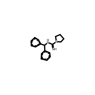 N=C(NC(c1ccccc1)c1ccccc1)N1CCCC1